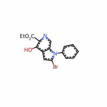 CCOC(=O)c1ncc2c(cc(Br)n2-c2ccccc2)c1O